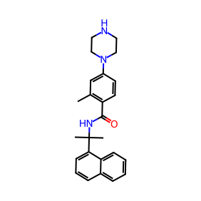 Cc1cc(N2CCNCC2)ccc1C(=O)NC(C)(C)c1cccc2ccccc12